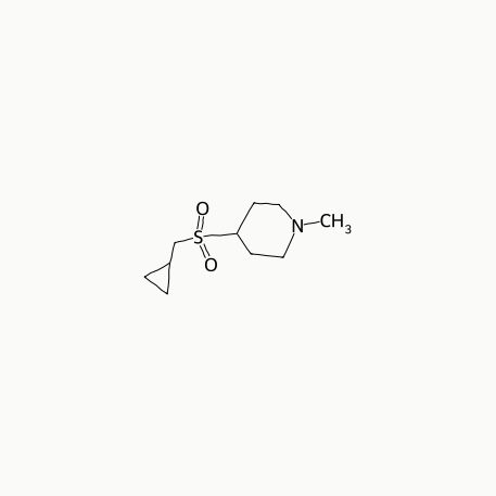 CN1CCC(S(=O)(=O)CC2CC2)CC1